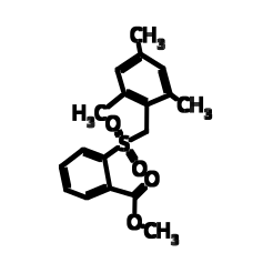 COC(=O)c1ccccc1S(=O)(=O)Cc1c(C)cc(C)cc1C